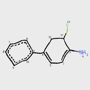 NC1=CC=C(c2ccccc2)CC1F